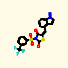 O=C1SC(=Cc2cccc3[nH]ccc23)C(=O)N1S(=O)(=O)c1cccc(C(F)(F)F)c1